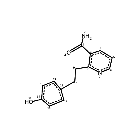 NC(=O)c1cccnc1[CH]Cc1ccc(O)cc1